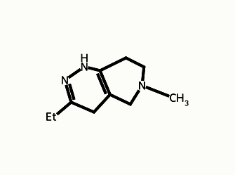 CCC1=NNC2=C(C1)CN(C)CC2